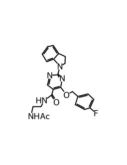 CC(=O)NCCNC(=O)c1cnc(N2CCc3ccccc32)nc1OCc1ccc(F)cc1